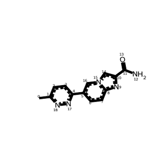 Cc1ccc(-c2ccc3nc(C(N)=O)cn3c2)nn1